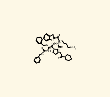 NCCCC[C@H](NC(=O)[C@@H]1[C@@H](OC(=O)N2CCCCC2)CCN1C(=O)[C@@H](CCc1ccccc1)NC(=O)OCc1ccccc1)C(=O)c1nc2ccccc2o1